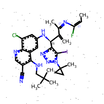 C=C(/C(C)=N\C(F)=C/C)[C@H](Nc1cc(Cl)c2ncc(C#N)c(NCC(C)(C)C)c2c1)c1nnn(C2(C)CC2)c1I